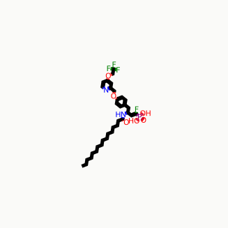 CCCCCCCCCCCCCCCC(=O)NC(C=C(F)P(=O)(O)O)Cc1ccc(OCc2cc(OCC(F)(F)F)ccn2)cc1